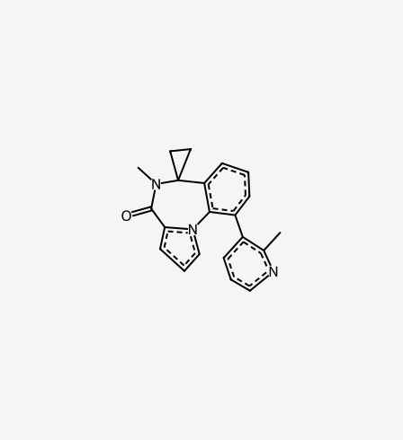 Cc1ncccc1-c1cccc2c1-n1cccc1C(=O)N(C)C21CC1